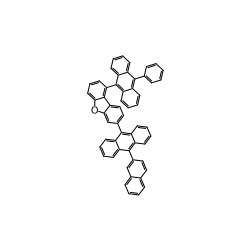 c1ccc(-c2c3ccccc3c(-c3cccc4oc5cc(-c6c7ccccc7c(-c7ccc8ccccc8c7)c7ccccc67)ccc5c34)c3ccccc23)cc1